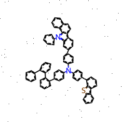 c1ccc(-c2ccccc2-c2ccccc2-c2ccc(N(c3ccc(-c4ccc5c6ccc7ccccc7c6n(-c6ccccc6)c5c4)cc3)c3ccc(-c4cccc5c4sc4ccccc45)cc3)cc2)cc1